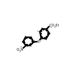 CCOC(=O)c1ccc(Sc2cccc([N+](=O)[O-])c2)cc1